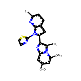 CCc1ccc2cc(-c3nc4cc(C=O)cc(OC)n4c3C)n(-c3nccs3)c2n1